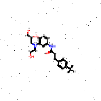 CC(C)(C)c1ccc(CCC(=O)Nc2ccc3c(c2)N(CCO)CC(CO)O3)cc1